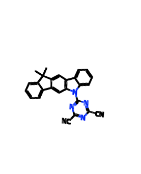 CC1(C)c2ccccc2-c2cc3c(cc21)c1ccccc1n3-c1nc(C#N)nc(C#N)n1